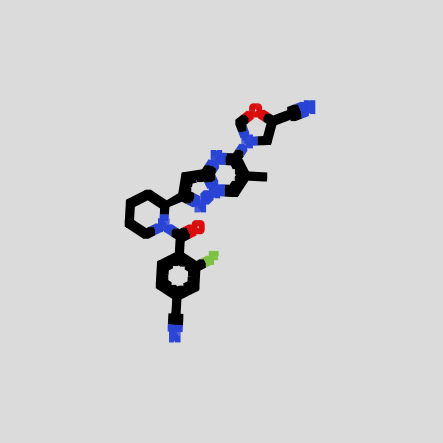 Cc1cn2nc([C@@H]3CCCCN3C(=O)c3ccc(C#N)cc3F)cc2nc1N1COC(C#N)C1